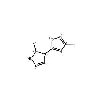 Cc1noc(N2[C]=NNN2C)n1